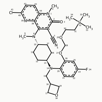 Cn1c(=O)c(C#N)c(N(C)[C@H]2CC[C@H](N(CC3COC3)c3ccc(F)cc3OCOCC[Si](C)(C)C)CC2)c2nc(Cl)ccc21